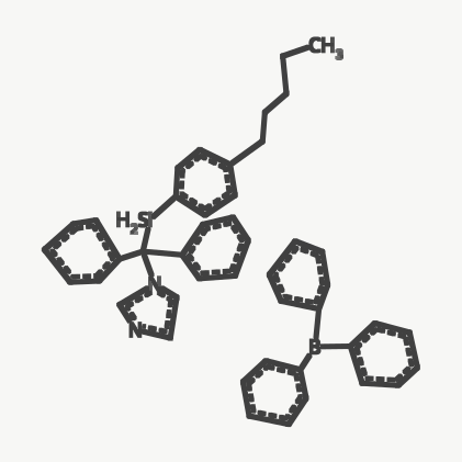 CCCCCc1ccc([SiH2]C(c2ccccc2)(c2ccccc2)n2ccnc2)cc1.c1ccc(B(c2ccccc2)c2ccccc2)cc1